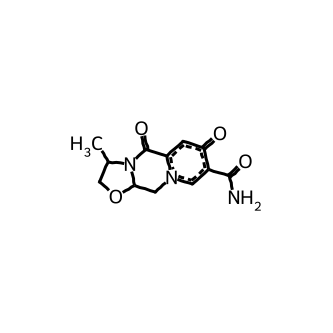 CC1COC2Cn3cc(C(N)=O)c(=O)cc3C(=O)N12